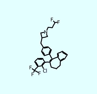 FC(F)CCN1CC(Cc2ccc(C3=C(c4cccc(C(F)(F)F)c4Cl)CCCc4ccccc43)cc2)C1